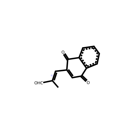 C/C(C=O)=C\C1=CC(=O)c2ccccc2C1=O